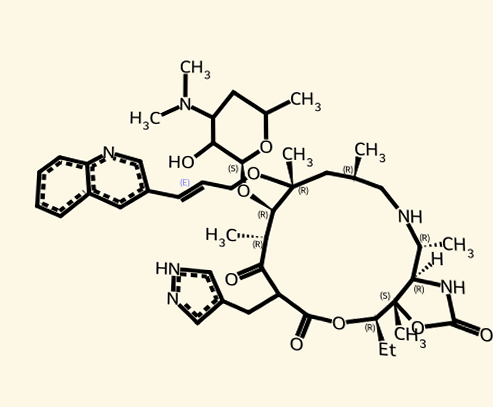 CC[C@H]1OC(=O)C(Cc2cn[nH]c2)C(=O)[C@H](C)[C@@H](O[C@@H]2OC(C)CC(N(C)C)C2O)[C@](C)(OC/C=C/c2cnc3ccccc3c2)C[C@@H](C)CN[C@H](C)[C@H]2NC(=O)O[C@@]21C